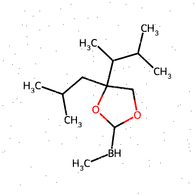 CBC1OCC(CC(C)C)(C(C)C(C)C)O1